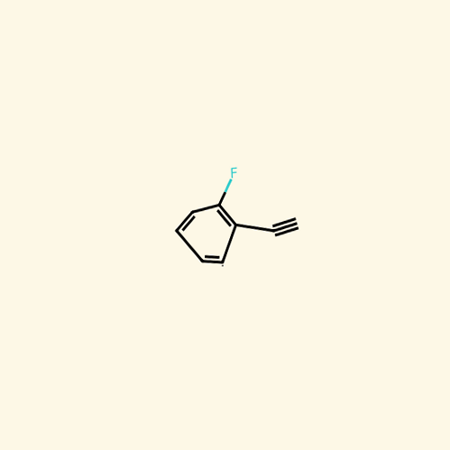 C#Cc1[c]cccc1F